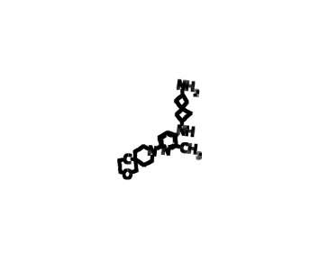 Cc1nc(N2CCC3(CCCOC3)CC2)ccc1NC1CC2(CC(N)C2)C1